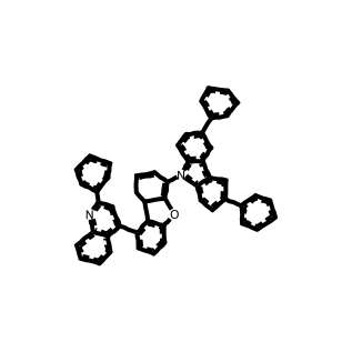 C1=CC(n2c3ccc(-c4ccccc4)cc3c3cc(-c4ccccc4)ccc32)=C2Oc3cccc(-c4cc(-c5ccccc5)nc5ccccc45)c3C2C1